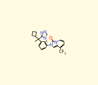 Cn1cnnc1C(C)(c1cccc(-n2cc3c(C(F)(F)F)cccn3c2=O)c1)C1CCC1